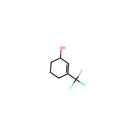 OC1C=C(C(F)(F)F)CCC1